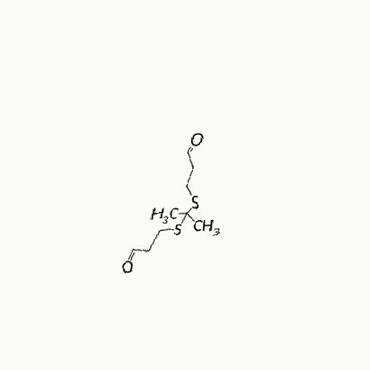 CC(C)(SCCC=O)SCCC=O